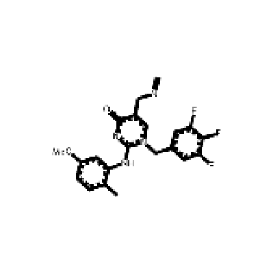 C=NCc1cn(Cc2cc(F)c(F)c(F)c2)c(Nc2cc(OC)ccc2C)nc1=O